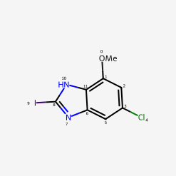 COc1cc(Cl)cc2nc(I)[nH]c12